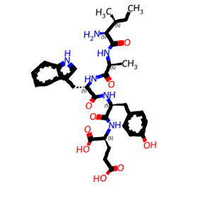 CC[C@H](C)[C@H](N)C(=O)N[C@@H](C)C(=O)N[C@@H](Cc1c[nH]c2ccccc12)C(=O)N[C@@H](Cc1ccc(O)cc1)C(=O)N[C@@H](CCC(=O)O)C(=O)O